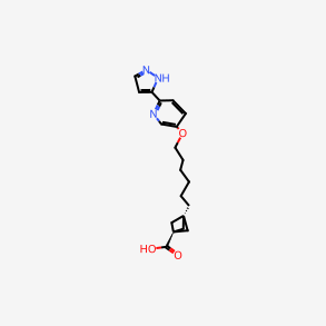 O=C(O)[C@]12C[C@@](CCCCCCOc3ccc(-c4ccn[nH]4)nc3)(C1)C2